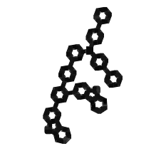 c1ccc(-c2ccc(N(c3ccc(-c4ccccc4)cc3)c3cccc(-c4ccc(-c5ccc(-c6ccc7oc8ccccc8c7c6)cc5-c5ccc6oc7ccccc7c6c5)cc4)c3)cc2)cc1